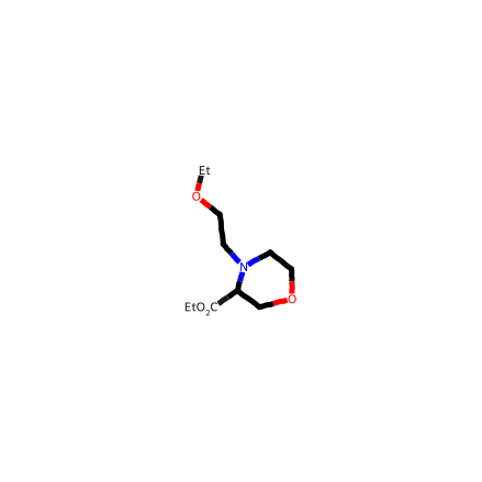 CCOCCN1CCOCC1C(=O)OCC